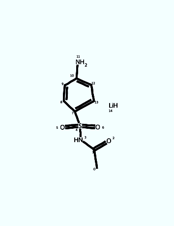 CC(=O)NS(=O)(=O)c1ccc(N)cc1.[LiH]